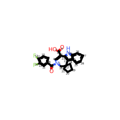 O=C(O)C1=CN(C(=O)c2ccc(F)c(F)c2)CC2(CCCC2)c2c1[nH]c1ccccc21